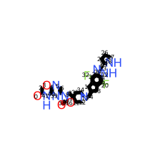 O=C1COc2ncc(N3CC4(CCN(CC5Cc6c(c(F)c7[nH]c([C@H]8CCCN8)nc7c6F)C5)CC4)OC3=O)nc2N1